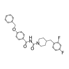 O=C(NC(=O)N1CCC(Cc2ccc(F)cc2F)CC1)c1ccc(OCc2ccccc2)cc1